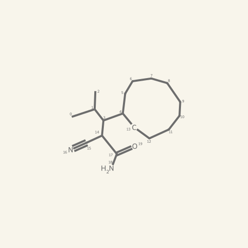 CC(C)C(C1CCCCCCCCC1)C(C#N)C(N)=O